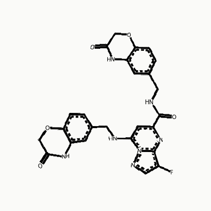 O=C1COc2ccc(CNC(=O)c3cc(NCc4ccc5c(c4)NC(=O)CO5)n4ncc(F)c4n3)cc2N1